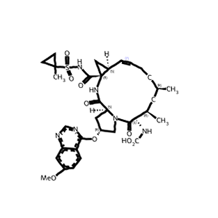 COc1ccc2c(O[C@@H]3C[C@H]4C(=O)N[C@]5(C(=O)NS(=O)(=O)C6(C)CC6)C[C@H]5/C=C\CC[C@@H](C)C[C@@H](C)[C@H](NC(=O)O)C(=O)N4C3)ncnc2c1